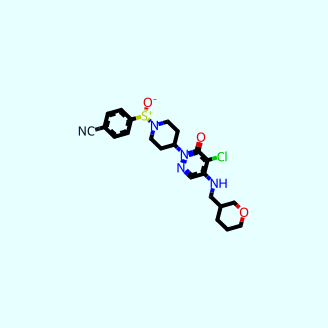 N#Cc1ccc([S+]([O-])N2CCC(n3ncc(NCC4CCCOC4)c(Cl)c3=O)CC2)cc1